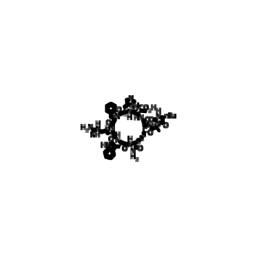 CCCC[C@@H]1NC(=O)N([C@@H](C)C(=O)N[C@H]2CSSC[C@@H](C(N)=O)NC(=O)[C@H](Cc3c[nH]c4ccccc34)NC(=O)[C@H](CCCNC(=N)N)NC(=O)[C@@H](Cc3ccccc3)NC(=O)[C@H](CC3CN=CN3)NC(=O)[C@H](CCC(=O)O)NC2=O)C1=O